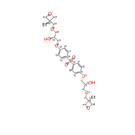 CCC1(COCC(O)COc2ccc(S(=O)(=O)c3ccc(OCC(O)COCC4(CC)COC4)cc3)cc2)COC1